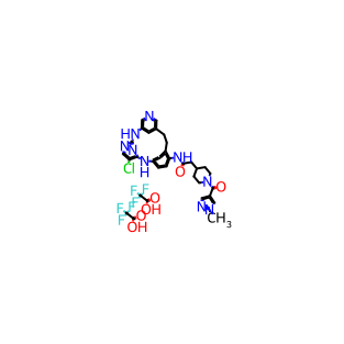 Cn1cc(C(=O)N2CCC(CC(=O)Nc3ccc4cc3CCc3cncc(c3)Nc3ncc(Cl)c(n3)N4)CC2)cn1.O=C(O)C(F)(F)F.O=C(O)C(F)(F)F